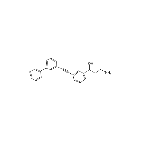 NCCC(O)c1cccc(C#Cc2cccc(-c3ccccc3)c2)c1